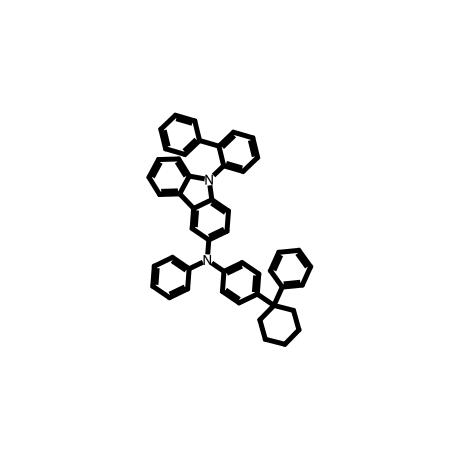 c1ccc(-c2ccccc2-n2c3ccccc3c3cc(N(c4ccccc4)c4ccc(C5(c6ccccc6)CCCCC5)cc4)ccc32)cc1